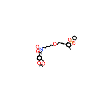 Cc1cc(C#CCCOCCCCCCN2C[C@@H](c3ccc4c(c3)COC(C)(C)O4)OC2=O)cc(S(=O)(=O)C2CCCC2)c1